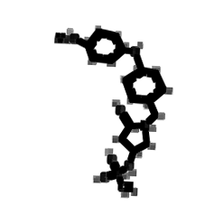 COc1ccc(Oc2ccc(CN3CC(OS(C)(=O)=O)CC3=O)cc2)cc1